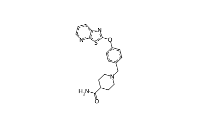 NC(=O)C1CCN(Cc2ccc(Oc3nc4cccnc4s3)cc2)CC1